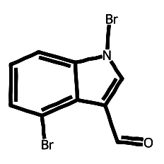 O=Cc1cn(Br)c2cccc(Br)c12